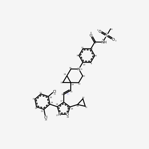 CS(=O)(=O)NC(=O)c1ccc(N2CCC3(/C=C/c4c(-c5c(Cl)cccc5Cl)noc4C4CC4)CC3C2)cc1